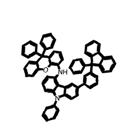 c1ccc(-n2c3ccc(-c4cccc(C5(c6ccccc6)c6ccccc6-c6ccccc65)c4)cc3c3c(Nc4cccc5c4Oc4ccccc4C5(c4ccccc4)c4ccccc4)cccc32)cc1